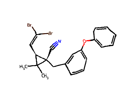 CC1(C)[C@@H](C=C(Br)Br)[C@]1(C#N)Cc1cccc(Oc2ccccc2)c1